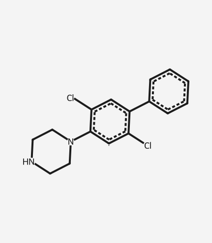 Clc1[c]c(N2CCNCC2)c(Cl)cc1-c1ccccc1